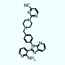 N#Cc1ccnc(N2CCN(Cc3ccc(-n4c(-c5cccnc5N)nc5cccnc54)cc3)CC2)n1